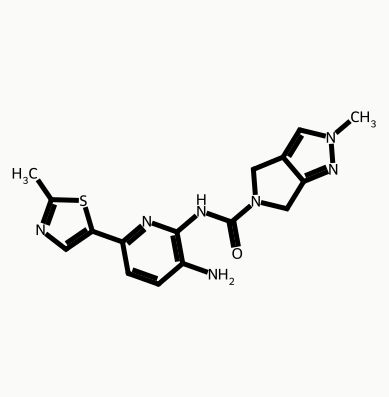 Cc1ncc(-c2ccc(N)c(NC(=O)N3Cc4cn(C)nc4C3)n2)s1